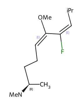 CN[C@H](C)CC/C=C(OC)\C(F)=C/C(C)C